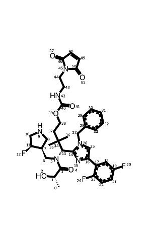 C[C@H](O)C(=O)N(C[C@@H]1CNC[C@@H]1F)[C@@H](c1nc(-c2cc(F)ccc2F)cn1Cc1ccccc1)C(C)(C)CCOC(=O)NCCN1C(=O)C=CC1=O